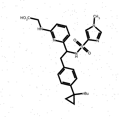 CCCCC1(c2ccc(CC(NS(=O)(=O)c3cn(C)cn3)c3cccc(NCC(=O)O)n3)cc2)CC1